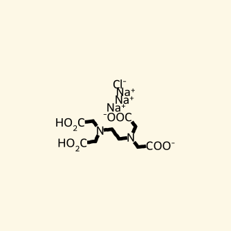 O=C([O-])CN(CCN(CC(=O)O)CC(=O)O)CC(=O)[O-].[Cl-].[Na+].[Na+].[Na+]